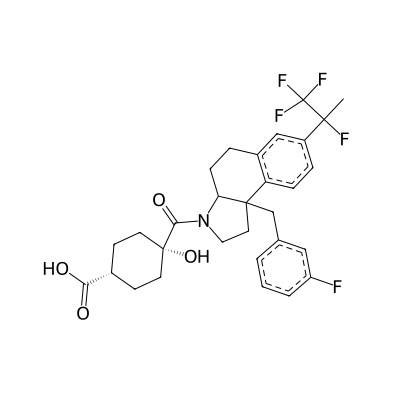 CC(F)(c1ccc2c(c1)CCC1N(C(=O)[C@]3(O)CC[C@@H](C(=O)O)CC3)CCC21Cc1cccc(F)c1)C(F)(F)F